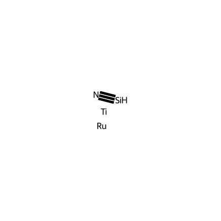 N#[SiH].[Ru].[Ti]